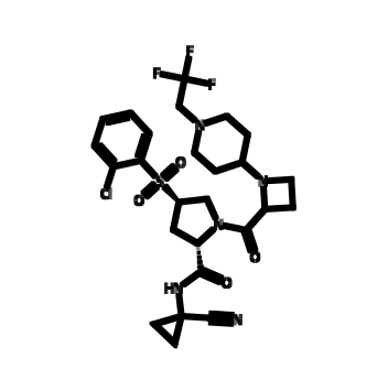 N#CC1(NC(=O)[C@@H]2C[C@@H](S(=O)(=O)c3ccccc3Cl)CN2C(=O)C2CCN2C2CCN(CC(F)(F)F)CC2)CC1